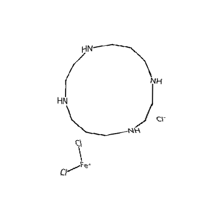 C1CNCCNCCCNCCNC1.[Cl-].[Cl][Fe+][Cl]